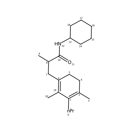 CCCC1=C(C)CCC(CC(C)C(=O)NC2CCCCC2)=C1C